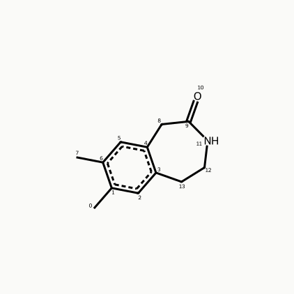 Cc1cc2c(cc1C)CC(=O)NCC2